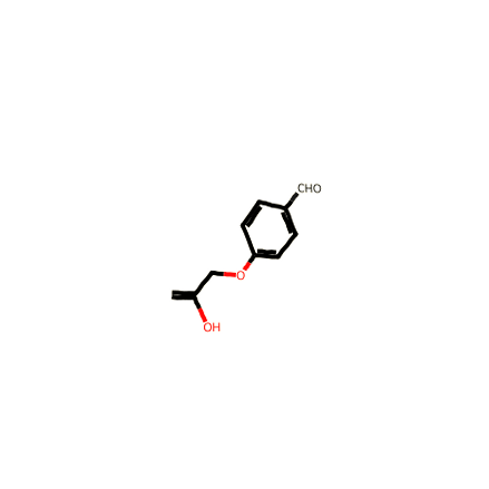 C=C(O)COc1ccc(C=O)cc1